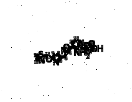 Nc1c(-c2cc(Cc3ccc(OCc4nccs4)nc3)no2)ccc[n+]1COP(=O)([O-])O